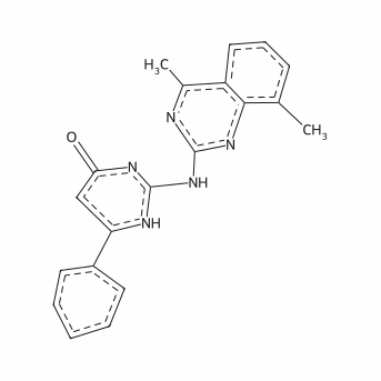 Cc1nc(Nc2nc(=O)cc(-c3ccccc3)[nH]2)nc2c(C)cccc12